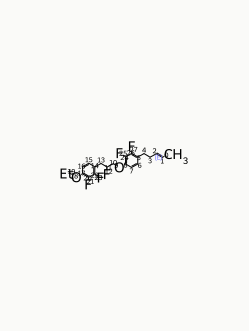 C/C=C/CCc1ccc(OCC(F)Cc2ccc(OCC)c(F)c2F)c(F)c1F